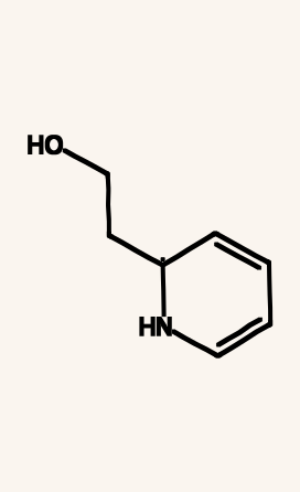 OCC[C]1C=CC=CN1